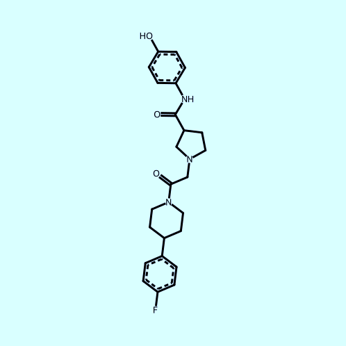 O=C(Nc1ccc(O)cc1)C1CCN(CC(=O)N2CCC(c3ccc(F)cc3)CC2)C1